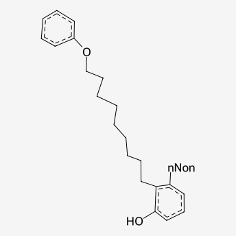 CCCCCCCCCc1cccc(O)c1CCCCCCCCCOc1ccccc1